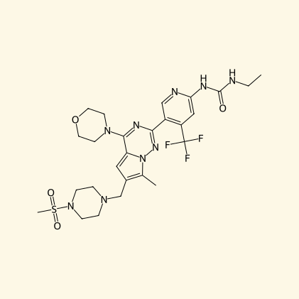 CCNC(=O)Nc1cc(C(F)(F)F)c(-c2nc(N3CCOCC3)c3cc(CN4CCN(S(C)(=O)=O)CC4)c(C)n3n2)cn1